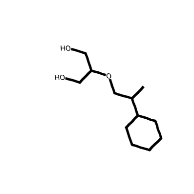 CC(COC(CO)CO)C1CCCCC1